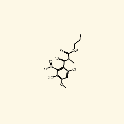 CCCNC(=O)N(C)C(=O)c1c(Cl)cc(OC)c(O)c1[N+](=O)[O-]